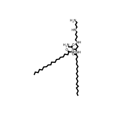 CCCCCCCCCCCCCCCCCC(=O)NC(CCNCCCCNCCCN)N(NC(=O)CCCCCCCCCCCCCCCCC)C(=O)CN